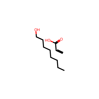 C=CC(=O)O.CCCCCCCCO